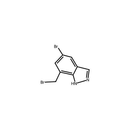 BrCc1cc(Br)cc2cn[nH]c12